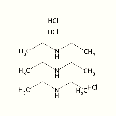 CCNCC.CCNCC.CCNCC.Cl.Cl.Cl